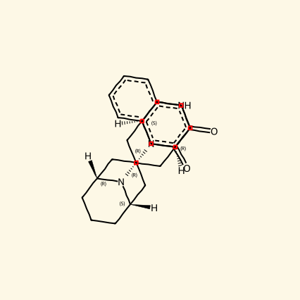 O=c1[nH]c2ccccc2n([C@H]2C[C@H]3CCC[C@@H](C2)N3[C@H]2C[C@@H]3CCC[C@@H](C3)C2)c1=O